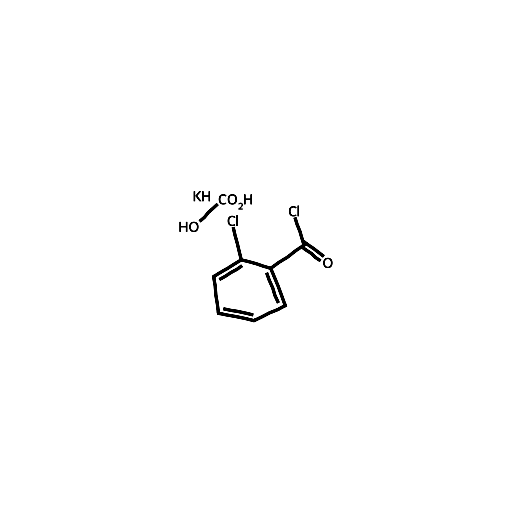 O=C(Cl)c1ccccc1Cl.O=C(O)O.[KH]